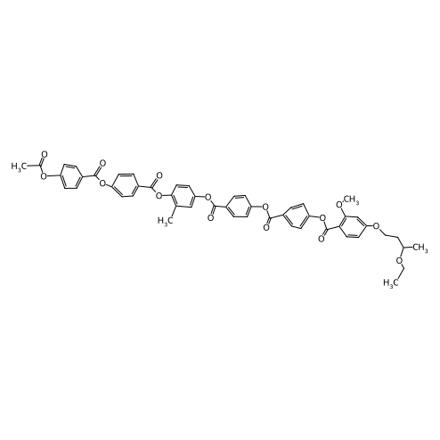 CCOC(C)CCOc1ccc(C(=O)Oc2ccc(C(=O)Oc3ccc(C(=O)Oc4ccc(OC(=O)c5ccc(OC(=O)c6ccc(OC(C)=O)cc6)cc5)c(C)c4)cc3)cc2)c(OC)c1